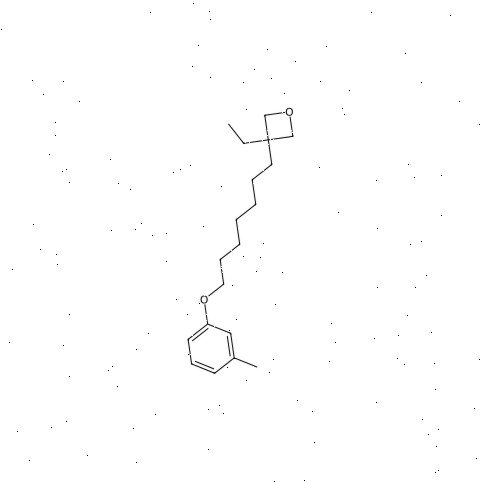 CCC1(CCCCCCCOc2cccc(C)c2)COC1